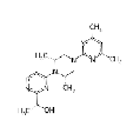 Cc1cc(C)nc(N2C[C@@H](C)N(c3ccnc([C@@H](C)O)n3)[C@@H](C)C2)n1